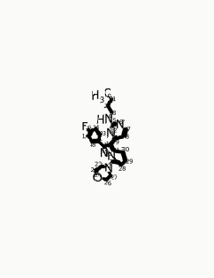 CCCCNc1nccc(-c2c(-c3ccc(F)cc3)nn3c(N4CCOCC4)cccc23)n1